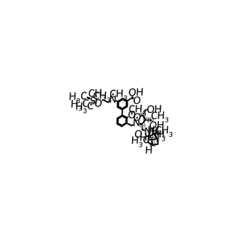 COc1c(CN2O[C@@H](CO)[C@@H]([C@H](C)O)[C@H]2C(=O)N[C@H]2C[C@H]3C[C@@H]([C@@H]2C)C3(C)C)cccc1-c1cc(C(=O)O)cc(N(C)CCO[Si](C)(C)C(C)(C)C)c1